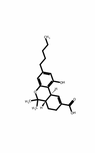 CCCCCc1cc(O)c2c(c1)OC(C)(C)[C@H]1CCC(C(=O)O)=C[C@H]21